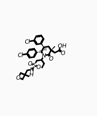 CCC(CS(=O)(=O)NCC1(C)COC1)N1C(=O)[C@@](C)(CC(=O)O)C[C@H](c2cccc(Cl)c2)[C@H]1c1ccc(Cl)cc1